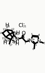 Cc1n(C)cc[n+]1CC(=O)N[C@@H]1C[C@@H]2C[C@H]([C@H]1C)C2(C)C.[Cl-]